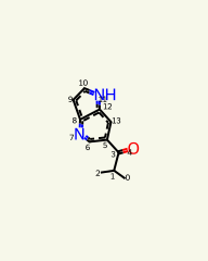 CC(C)C(=O)c1cnc2cc[nH]c2c1